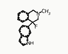 CN1Cc2ccccc2C(F)(c2ccc3cc[nH]c3c2)C1